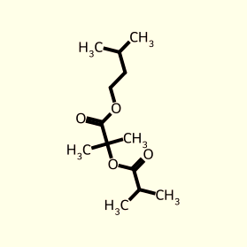 CC(C)CCOC(=O)C(C)(C)OC(=O)C(C)C